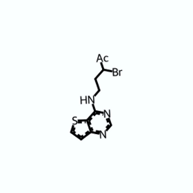 CC(=O)C(Br)CCNc1ncnc2ccsc12